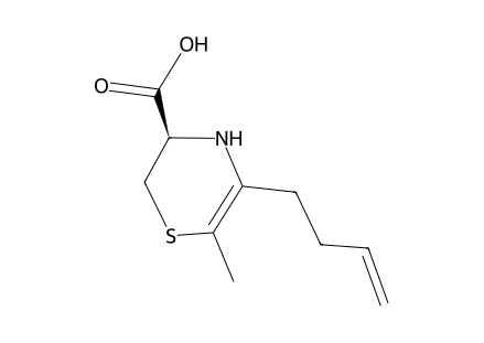 C=CCCC1=C(C)SC[C@@H](C(=O)O)N1